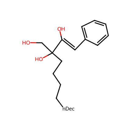 CCCCCCCCCCCCCCC(O)(CO)C(O)=Cc1ccccc1